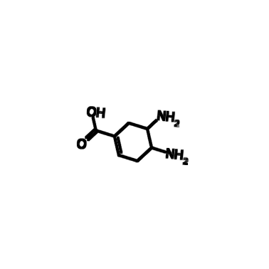 NC1CC=C(C(=O)O)CC1N